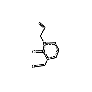 C=CCn1cccc(C=O)c1=O